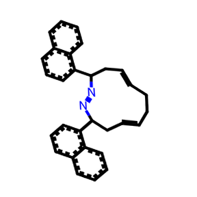 C1=C/CC(c2cccc3ccccc23)/N=N/C(c2cccc3ccccc23)C/C=C/CC/1